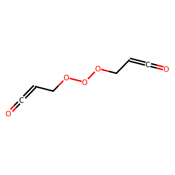 O=C=CCOOOCC=C=O